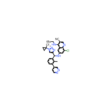 Cc1c(-c2ccnnc2)cccc1C(Nc1cc(Cl)c2ncc(C#N)c(NCC(C)(C)C)c2c1)c1cn(C2(C(F)(F)F)CC2)nn1